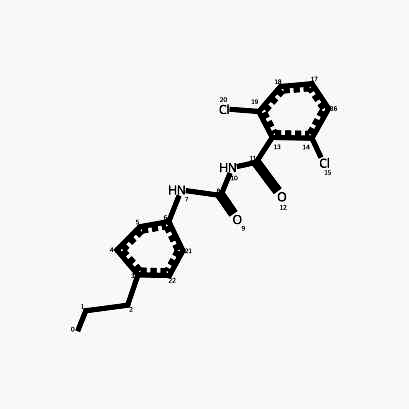 CCCc1ccc(NC(=O)NC(=O)c2c(Cl)cccc2Cl)cc1